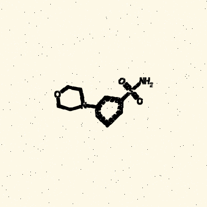 NS(=O)(=O)c1cccc(N2CCOCC2)c1